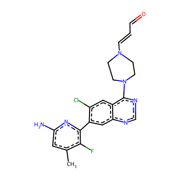 Cc1cc(N)nc(-c2cc3ncnc(N4CCN(C=CC=O)CC4)c3cc2Cl)c1F